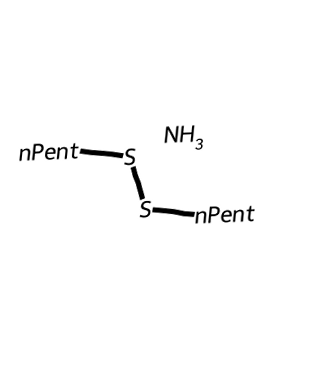 CCCCCSSCCCCC.N